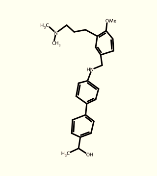 COc1ccc(CNc2ccc(-c3ccc(C(C)O)cc3)cc2)cc1CCCN(C)C